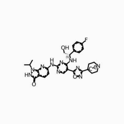 CC(C)n1[nH]c(=O)c2ccc(Nc3ncc(-c4nc(C56CCN(CC5)CC6)no4)c(N[C@H](CO)c4ccc(F)cc4)n3)nc21